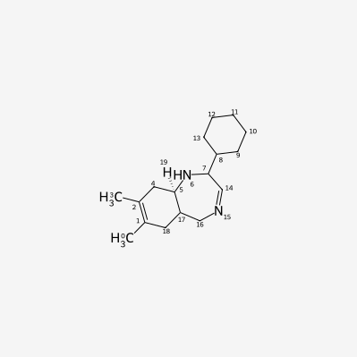 CC1=C(C)C[C@H]2NC(C3CCCCC3)C=NCC2C1